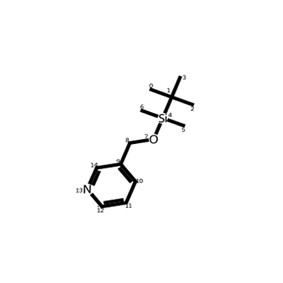 CC(C)(C)[Si](C)(C)OCc1cc[c]nc1